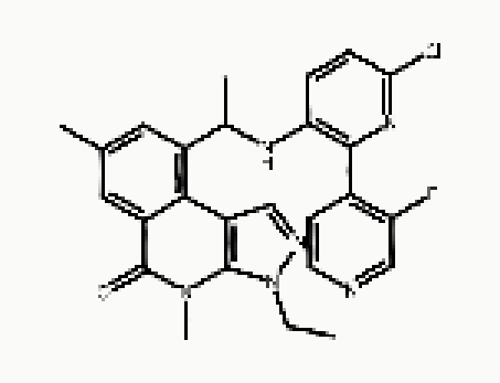 CCn1ncc2c3c(C(C)Nc4ccc(Cl)nc4-c4ccncc4F)cc(C)cc3c(=O)n(C)c21